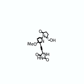 COc1ccc(N2C(=O)CC[C@@H]2CO)nc1C#CC1NC(=O)NC1=O